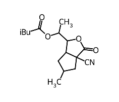 CCC(C)C(=O)OC(C)C1OC(=O)C2(C#N)CC(C)CC12